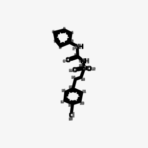 O=C(Nc1ccccc1)NS(=O)(=O)CCc1ccc(Cl)cc1